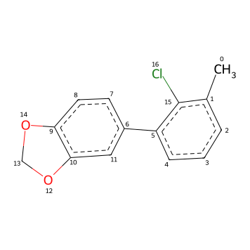 Cc1cccc(-c2ccc3c(c2)OCO3)c1Cl